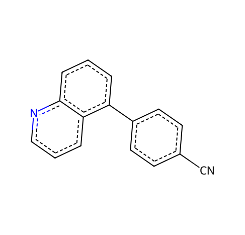 N#Cc1ccc(-c2cccc3ncccc23)cc1